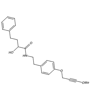 COC#CCOc1ccc(CCNC(=O)C(O)CCc2ccccc2)cc1